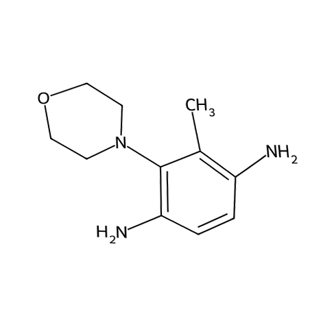 Cc1c(N)ccc(N)c1N1CCOCC1